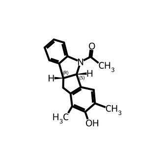 CC(=O)N1c2ccccc2[C@H]2Cc3c(cc(C)c(O)c3C)[C@H]21